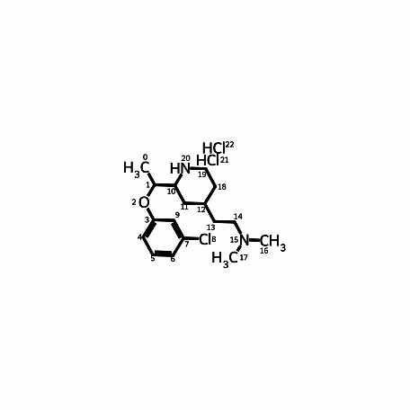 CC(Oc1cccc(Cl)c1)C1CC(CCN(C)C)CCN1.Cl.Cl